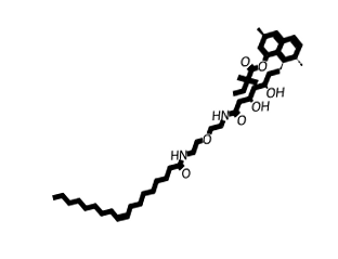 CCCCCCCC/C=C\CCCCCCCC(=O)NCCOCCNC(=O)C[C@H](O)C[C@@H](O)CC[C@@H]1C2C(=C[C@H](C)CC2OC(=O)C(C)(C)CC)C=C[C@@H]1C